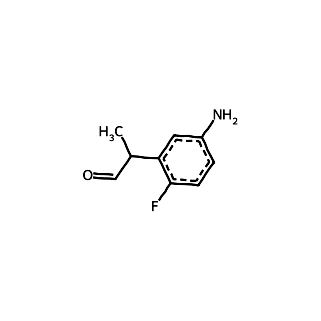 CC(C=O)c1cc(N)ccc1F